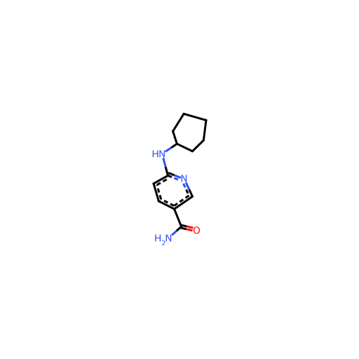 NC(=O)c1ccc(NC2CCCCC2)nc1